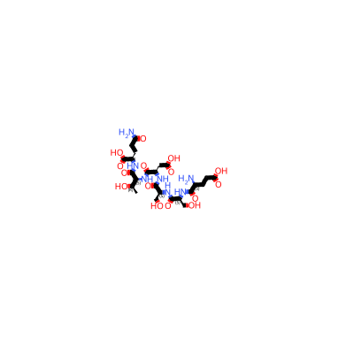 C[C@@H](O)[C@H](NC(=O)[C@H](CC(=O)O)NC(=O)[C@H](CO)NC(=O)[C@H](CO)NC(=O)[C@@H](N)CCC(=O)O)C(=O)N[C@@H](CCC(N)=O)C(=O)O